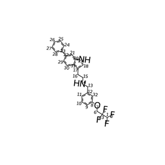 FC(F)C(F)(F)COc1cccc(CNCCc2c[nH]c3cc(-c4ccccc4)ccc23)c1